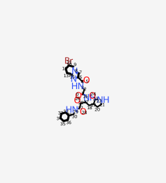 O=C(CNC(=O)c1cn2cc(Br)ccc2n1)NC(CC1CCNC1=O)C(=O)C(=O)NCc1ccccc1